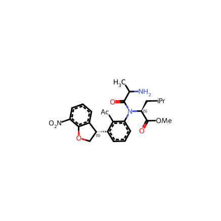 COC(=O)[C@H](CC(C)C)N(C(=O)C(C)N)c1cccc([C@@H]2COc3c2cccc3[N+](=O)[O-])c1C(C)=O